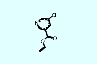 C=COC(=O)c1cncc(Cl)c1